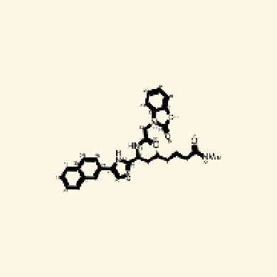 CNC(=O)CCCCCC(NC(=O)Cn1c(=O)oc2ccccc21)c1ncc(-c2ccc3ccccc3c2)[nH]1